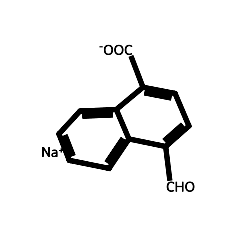 O=Cc1ccc(C(=O)[O-])c2ccccc12.[Na+]